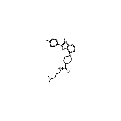 Cc1ccc(-c2nc3c(N4CCC(C(=O)NCCCN(C)C)CC4)cccc3n2C)cc1